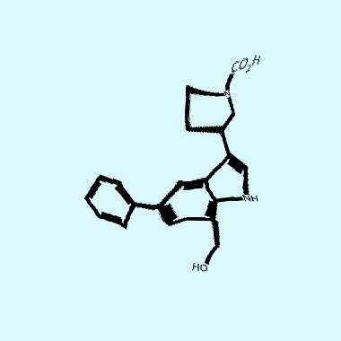 O=C(O)N1CCC(c2c[nH]c3c(CO)cc(-c4ccccc4)cc23)C1